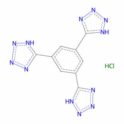 Cl.c1c(-c2nnn[nH]2)cc(-c2nnn[nH]2)cc1-c1nnn[nH]1